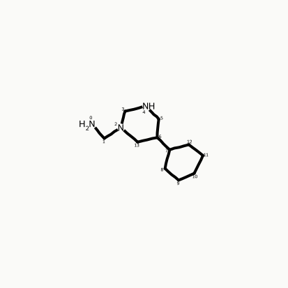 NCN1CNCC(C2CCCCC2)C1